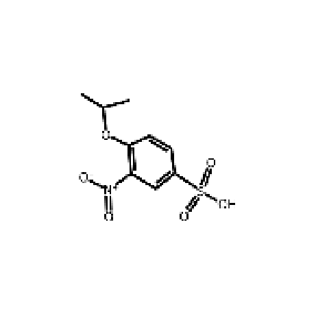 CC(C)Oc1ccc(S(=O)(=O)O)cc1[N+](=O)[O-]